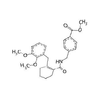 COC(=O)c1ccc(CNC(=O)C2=C(Cc3cccc(OC)c3OC)CCCC2)cc1